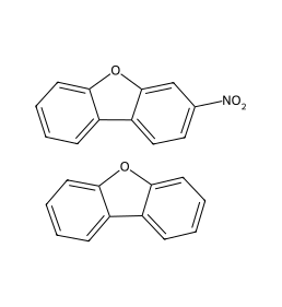 O=[N+]([O-])c1ccc2c(c1)oc1ccccc12.c1ccc2c(c1)oc1ccccc12